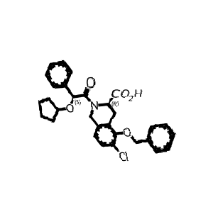 O=C(O)[C@H]1Cc2c(ccc(Cl)c2OCc2ccccc2)CN1C(=O)[C@@H](OC1CCCC1)c1ccccc1